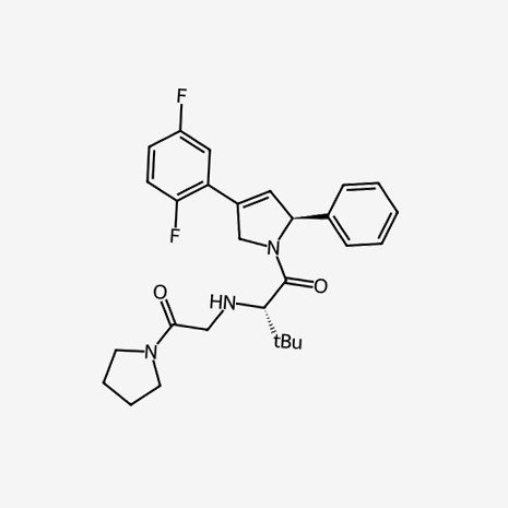 CC(C)(C)[C@H](NCC(=O)N1CCCC1)C(=O)N1CC(c2cc(F)ccc2F)=C[C@H]1c1ccccc1